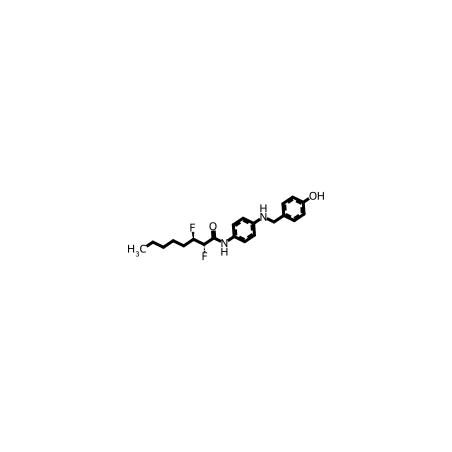 CCCCC[C@@H](F)[C@@H](F)C(=O)Nc1ccc(NCc2ccc(O)cc2)cc1